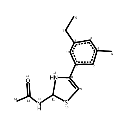 CCc1cc(C)cc(C2=CSC(NC(C)=O)N2)c1